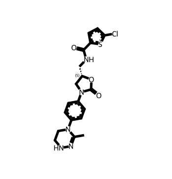 CC1=NNCCN1c1ccc(N2C[C@H](CNC(=O)c3ccc(Cl)s3)OC2=O)cc1